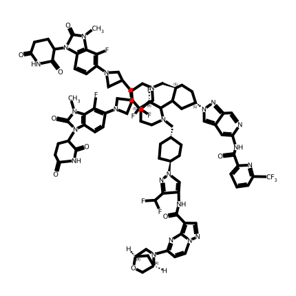 Cn1c(=O)n(C2CCC(=O)NC2=O)c2ccc(N3CC(CO[C@H]4CCN(C[C@H]5CC[C@H](n6cc(NC(=O)c7cnn8ccc(N9C[C@H]%10C[C@@H]9CO%10)nc78)c(C(F)F)n6)CC5)C(C5C[C@@H](n6cc7cc(NC(=O)c8cccc(C(F)(F)F)n8)ncc7n6)CC[C@@H]5CN5CCC6(CN(c7ccc8c(c7F)n(C)c(=O)n8C7CCC(=O)NC7=O)C6)C(F)(F)C5)[C@H]4F)C3)c(F)c21